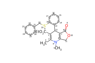 CCOC(=O)C1=C(C)N(C)C2=C(C(=O)OC2)C1c1ccccc1SCc1ccccc1